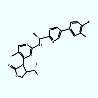 Cc1cc(-c2cnc([C@H](C)Nc3ncc(F)c(N4C(=O)OCC4[C@H](C)F)n3)nc2)ccc1F